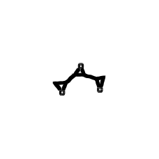 C1OC1[C]1OC1C1CO1